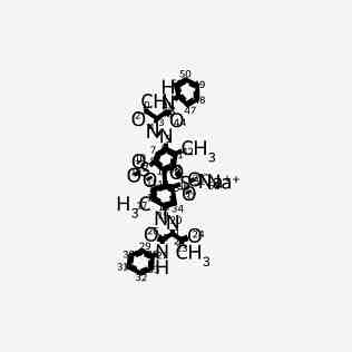 CC(=O)C(N=Nc1cc(S(=O)(=O)[O-])c(-c2cc(C)c(N=NC(C(C)=O)C(=O)Nc3ccccc3)cc2S(=O)(=O)[O-])cc1C)C(=O)Nc1ccccc1.[Na+].[Na+]